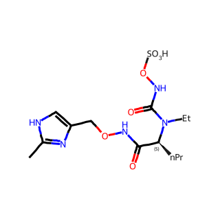 CCC[C@@H](C(=O)NOCc1c[nH]c(C)n1)N(CC)C(=O)NOS(=O)(=O)O